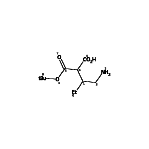 CCC(CN)C(C(=O)O)C(=O)OC(C)(C)C